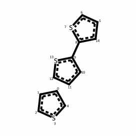 c1ccsc1.c1csc(-c2cccs2)c1